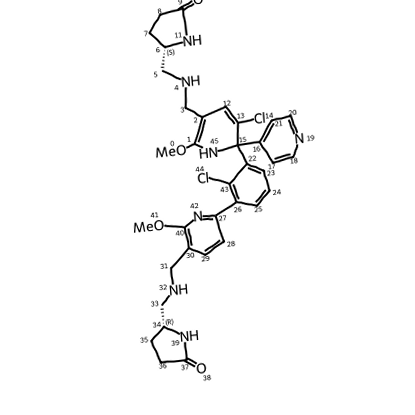 COC1=C(CNC[C@@H]2CCC(=O)N2)C=C(Cl)C(c2ccncc2)(c2cccc(-c3ccc(CNC[C@H]4CCC(=O)N4)c(OC)n3)c2Cl)N1